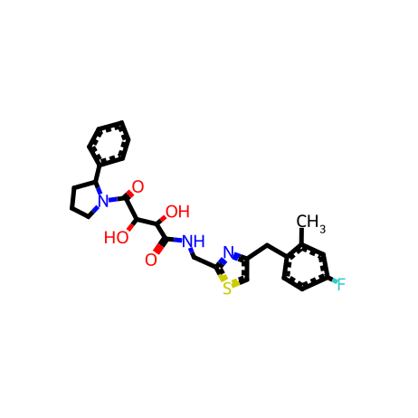 Cc1cc(F)ccc1Cc1csc(CNC(=O)C(O)C(O)C(=O)N2CCCC2c2ccccc2)n1